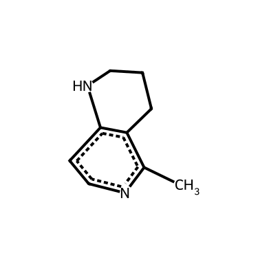 Cc1nccc2c1CCCN2